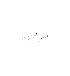 Cc1nn(-c2ccccc2)nc1COc1cccc(NC(=O)c2cc(C)n(-c3ccccc3C(F)(F)F)c2C)c1